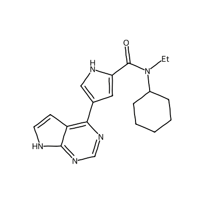 CCN(C(=O)c1cc(-c2ncnc3[nH]ccc23)c[nH]1)C1CCCCC1